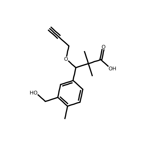 C#CCOC(c1ccc(C)c(CO)c1)C(C)(C)C(=O)O